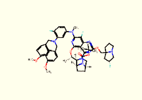 COc1ccc(CN(Cc2ccc(OC)cc2)c2cc(N(C)c3nc4c5c(nc(OCC67CCCN6C[C@H](F)C7)nc5c3F)N3C[C@H]5CC[C@@H]([C@H]3[C@H](C)O4)N5C(=O)OC(C)(C)C)ccc2F)cc1